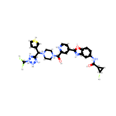 O=C(Nc1ccc2oc(-c3ccnc(C(=O)N4CCN(C(c5ccsc5)c5nnn(C(F)F)n5)CC4)c3)nc2c1)C1C[C@@H]1F